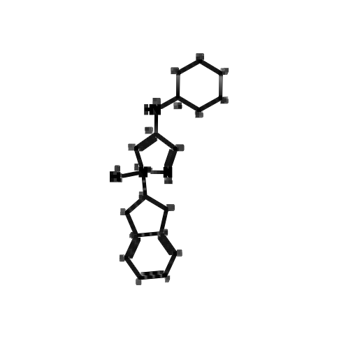 CC[N+]1(C2Cc3ccccc3C2)C=C(NC2CCCCC2)C=N1